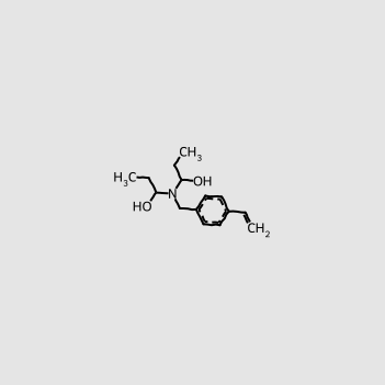 C=Cc1ccc(CN(C(O)CC)C(O)CC)cc1